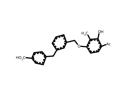 CC(=O)c1ccc(OCc2cccc(Cc3ccc(C(=O)O)cc3)c2)c(C)c1O